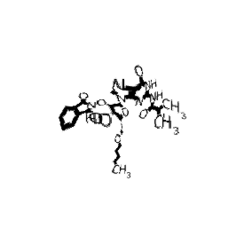 CCCCCOC[C@H]1O[C@@H](n2cnc3c(=O)[nH]c(NC(=O)C(C)C)nc32)[C@H](ON2C(=O)c3ccccc3C2=O)[C@@H]1O